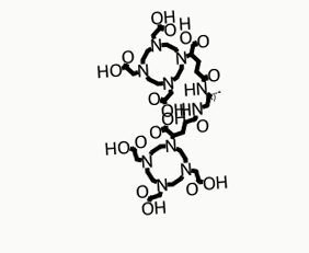 C[C@H](CNC(=O)CCC(C(=O)O)N1CCN(CC(=O)O)CCN(CC(=O)O)CCN(CC(=O)O)CC1)NC(=O)CCC(C(=O)O)N1CCN(CC(=O)O)CCN(CC(=O)O)CCN(CC(=O)O)CC1